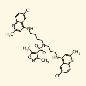 Cc1cc(NCCCCN(CCCNc2cc(C)nc3ccc(Cl)cc23)S(=O)(=O)c2c(C)noc2C)c2cc(Cl)ccc2n1